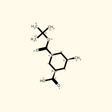 C[C@H]1C[C@@H](C(=O)O)CN(C(=O)OC(C)(C)C)C1